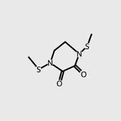 CSN1CCN(SC)C(=O)C1=O